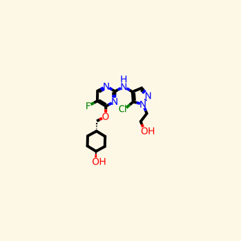 OCCn1ncc(Nc2ncc(F)c(OC[C@H]3CC[C@H](O)CC3)n2)c1Cl